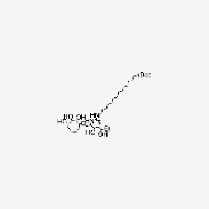 CCCCCCCCCCCCCCCCCCCCCCCCNC(=S)NC(COC1CCCCC(O)C(O)C1O)C(O)CC(O)CC